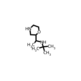 CC(NC(C)(C)C)C1CNCCO1